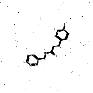 O=C(CCc1ccc(F)cc1)NCc1cccnc1